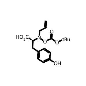 C=CCN(OC(=O)OC(C)(C)C)[C@@H](Cc1ccc(O)cc1)C(=O)O